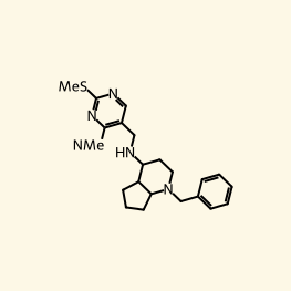 CNc1nc(SC)ncc1CNC1CCN(Cc2ccccc2)C2CCCC12